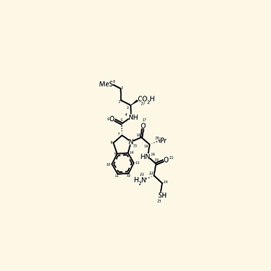 CSCC[C@H](NC(=O)[C@H]1Cc2ccccc2N1C(=O)[C@@H](NC(=O)[C@@H](N)CS)C(C)C)C(=O)O